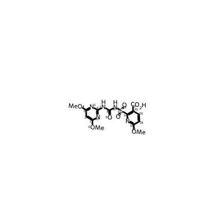 COc1cc(OC)nc(NC(=O)NS(=O)(=O)c2nc(OC)ccc2C(=O)O)n1